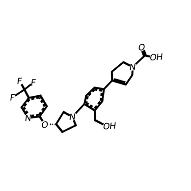 O=C(O)N1CC=C(c2ccc(N3CC[C@H](Oc4ccc(C(F)(F)F)cn4)C3)c(CO)c2)CC1